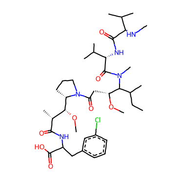 CCC(C)C([C@@H](CC(=O)N1CCC[C@H]1[C@H](OC)[C@@H](C)C(=O)NC(Cc1cccc(Cl)c1)C(=O)O)OC)N(C)C(=O)[C@@H](NC(=O)[C@@H](NC)C(C)C)C(C)C